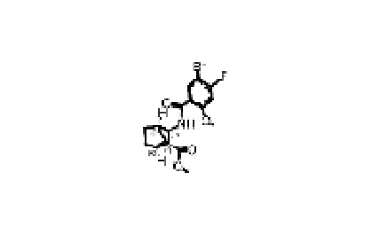 COC(=O)[C@H]1[C@H]2CC[C@H](C2)[C@H]1NC(=O)c1cc(Br)c(F)cc1OC